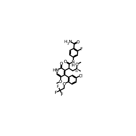 COc1c[nH]c(=O)c(C(C[C@H](C)OC)C(=O)Nc2ccc(C(N)=O)c(F)c2)c1-c1cc(Cl)ccc1OCC(F)(F)F